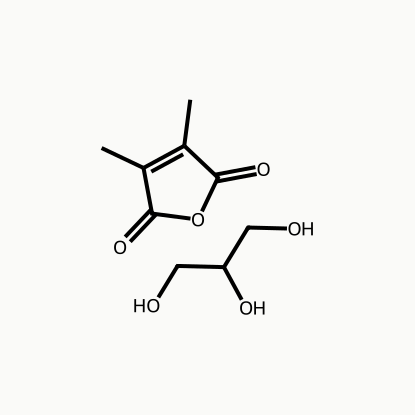 CC1=C(C)C(=O)OC1=O.OCC(O)CO